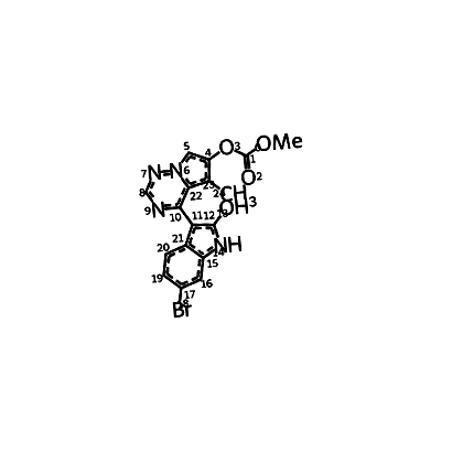 COC(=O)Oc1cn2ncnc(-c3c(O)[nH]c4cc(Br)ccc34)c2c1C